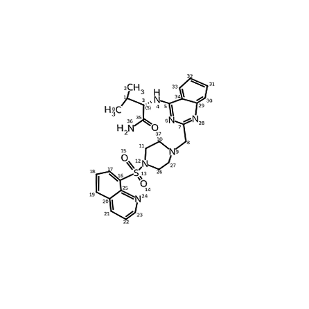 CC(C)[C@H](Nc1nc(CN2CCN(S(=O)(=O)c3cccc4cccnc34)CC2)nc2ccccc12)C(N)=O